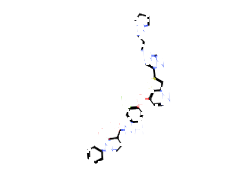 O=C(Nc1ccc(Oc2ccnc3cc(-c4cn(CCCN5CCCC5)cn4)sc23)c(F)c1)C1CCN(c2ccccc2)C1=O